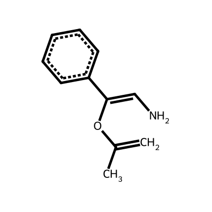 C=C(C)O/C(=C\N)c1ccccc1